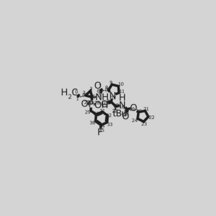 C=C[C@@H]1C[C@]1(NC(=O)[C@@H]1CCCN1C(=O)[C@@H](NC(=O)OC1CCCC1)C(C)(C)C)P(=O)(O)Cc1cccc(F)c1